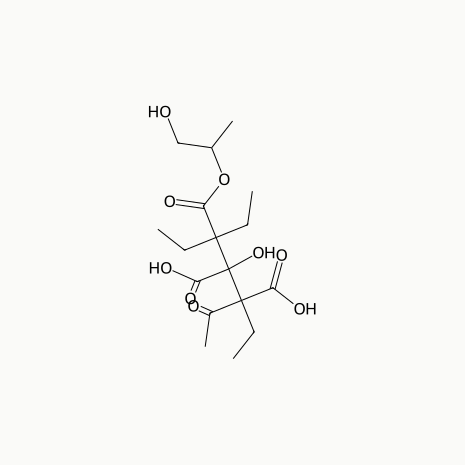 CCC(CC)(C(=O)OC(C)CO)C(O)(C(=O)O)C(CC)(C(C)=O)C(=O)O